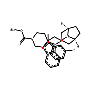 Cc1nc2ccccc2n1[C@H]1C[C@H]2CC[C@@H](C1)N2CCC1(c2cccc(Cl)c2)CCN(C(=O)OC(C)(C)C)CC1